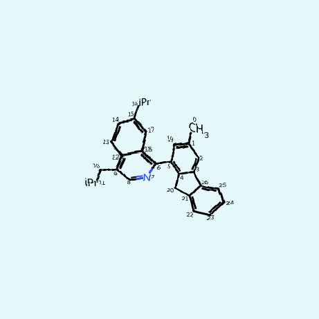 Cc1cc2c(c(-c3ncc(CC(C)C)c4ccc(C(C)C)cc34)c1)Cc1ccccc1-2